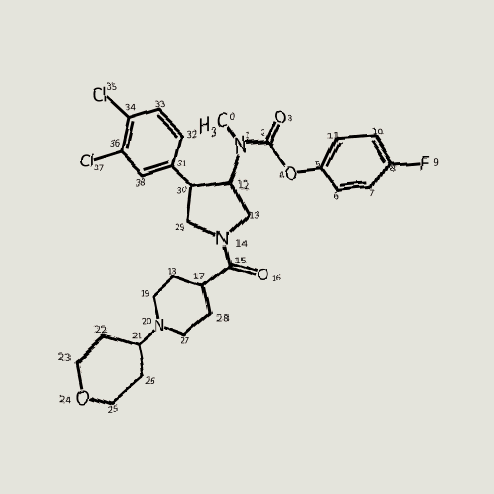 CN(C(=O)Oc1ccc(F)cc1)C1CN(C(=O)C2CCN(C3CCOCC3)CC2)CC1c1ccc(Cl)c(Cl)c1